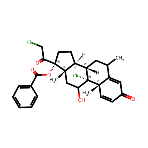 CC1C[C@H]2[C@@H]3CC[C@](OC(=O)c4ccccc4)(C(=O)CCl)[C@@]3(C)CC(O)[C@]2(Cl)[C@@]2(C)C=CC(=O)C=C12